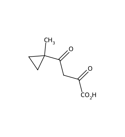 CC1(C(=O)CC(=O)C(=O)O)CC1